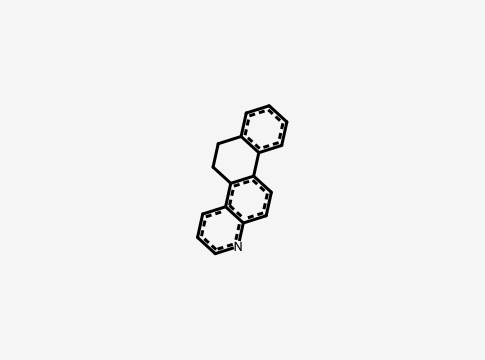 c1ccc2c(c1)CCc1c-2ccc2ncccc12